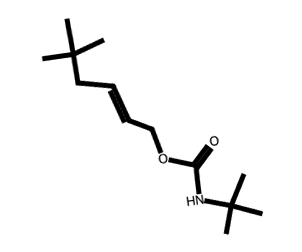 CC(C)(C)C/C=C/COC(=O)NC(C)(C)C